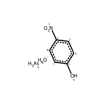 O.O=[N+]([O-])c1ccc(O)cc1.[AsH3]